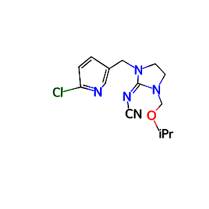 CC(C)OCN1CCN(Cc2ccc(Cl)nc2)C1=NC#N